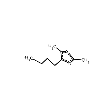 [CH2]CCCc1nc(C)sc1C